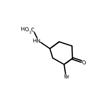 O=C(O)NC1CCC(=O)C(Br)C1